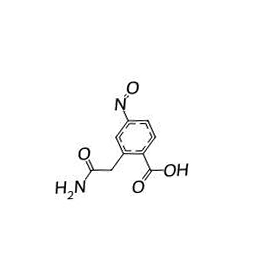 NC(=O)Cc1cc(N=O)ccc1C(=O)O